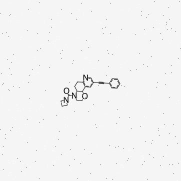 O=C(N1CCC1)N1CCOC2c3cc(C#Cc4ccccc4)cnc3CCC21